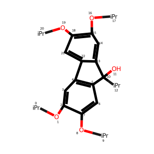 CC(C)Oc1cc2c(cc1OC(C)C)C(O)(C(C)C)c1cc(OC(C)C)c(OC(C)C)cc1-2